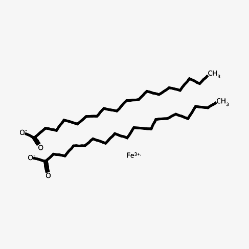 CCCCCCCCCCCCCCCCCC(=O)[O-].CCCCCCCCCCCCCCCCCC(=O)[O-].[Fe+3]